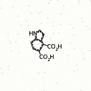 O=C(O)c1ccc2[nH]ccc2c1C(=O)O